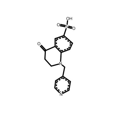 O=C1CCN(Cc2ccncc2)c2ccc(S(=O)(=O)O)cc21